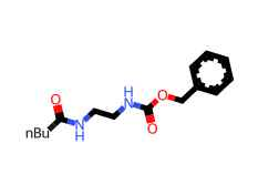 CCCCC(=O)NCCNC(=O)OCc1ccccc1